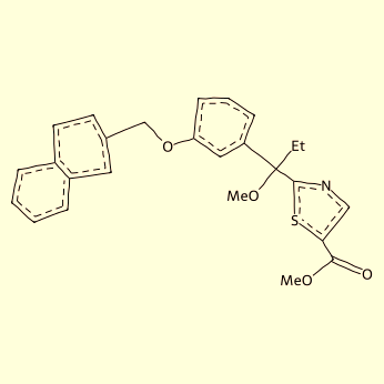 CCC(OC)(c1cccc(OCc2ccc3ccccc3c2)c1)c1ncc(C(=O)OC)s1